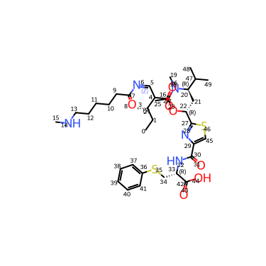 CC[C@H](C)C(/C=N\C(=O)CCCCCNC)C(=O)N(C)[C@H](C[C@@H](OC(C)=O)c1nc(C(=O)N[C@@H](CSc2ccccc2)C(=O)O)cs1)C(C)C